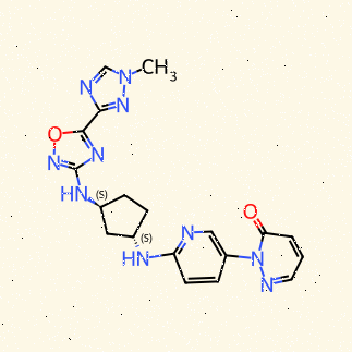 Cn1cnc(-c2nc(N[C@H]3CC[C@H](Nc4ccc(-n5ncccc5=O)cn4)C3)no2)n1